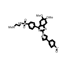 CNCCNS(=O)(=O)c1ccc(-c2nc(-n3cc(-c4ccc([S+]=O)cc4)cn3)nc3cc(OC)c(OC)cc23)cc1